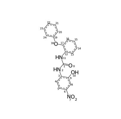 O=C(Nc1ccc([N+](=O)[O-])cc1O)Nc1ccccc1Oc1ccccc1